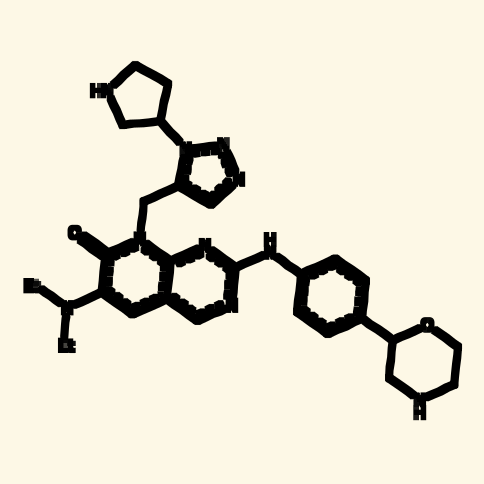 CCN(CC)c1cc2cnc(Nc3ccc(C4CNCCO4)cc3)nc2n(Cc2cnnn2C2CCNC2)c1=O